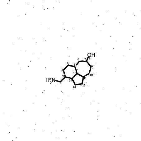 NCC1CCC2CC(O)CCC3CCC1C32